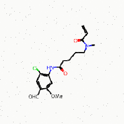 C=CC(=O)N(C)CCCCC(=O)Nc1cc(OC)c(C=O)cc1Cl